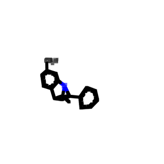 CC1C2C=C(c3ccccc3)N1c1cc(C(=O)O)ccc12